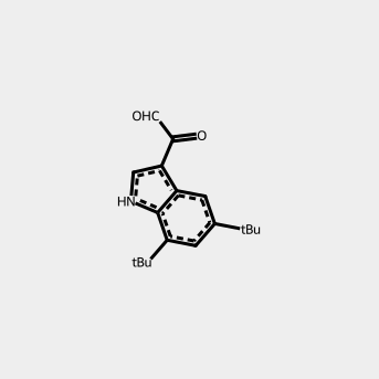 CC(C)(C)c1cc(C(C)(C)C)c2[nH]cc(C(=O)C=O)c2c1